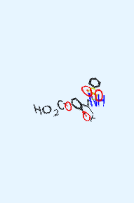 CC1(C)CC(CNS(=O)(=O)c2ccccc2)c2ccc(OCC(=O)O)cc2O1